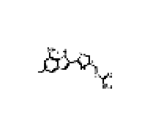 CC(C)(C)C(=O)OC[C@@H]1CSC(c2cc3cc(F)cc(N)c3[nH]2)=N1